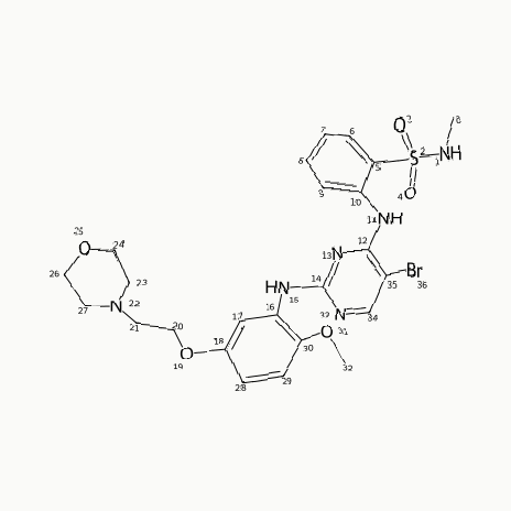 CNS(=O)(=O)c1ccccc1Nc1nc(Nc2cc(OCCN3CCOCC3)ccc2OC)ncc1Br